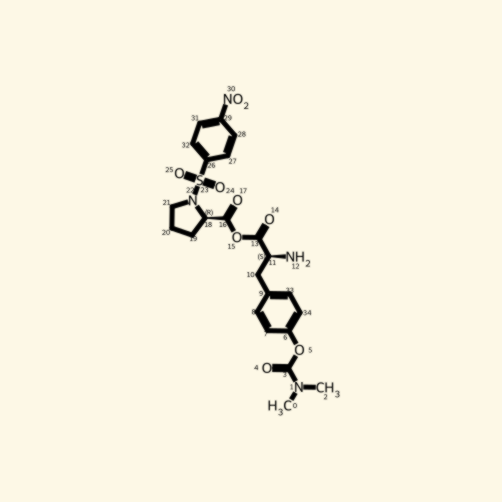 CN(C)C(=O)Oc1ccc(C[C@H](N)C(=O)OC(=O)[C@H]2CCCN2S(=O)(=O)c2ccc([N+](=O)[O-])cc2)cc1